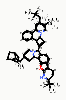 C[C@@H]1CC2CCC1C2CC1=CC2c3c(ccc4c5c(oc34)NC(C(C)(C)C)C=C5)C(C3=CC4C3c3ccccc3-c3cc(CC(C)(C)C)c([Si](C)(C)C)c[n+]34)N2C=C1